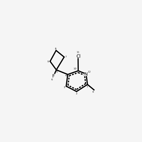 Cc1ccc(C2(F)CCC2)c(Cl)n1